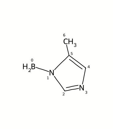 Bn1cncc1C